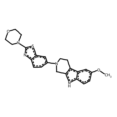 COc1ccc2[nH]c3c(c2c1)CCN(c1ccc2nc(N4CCOCC4)sc2c1)C3